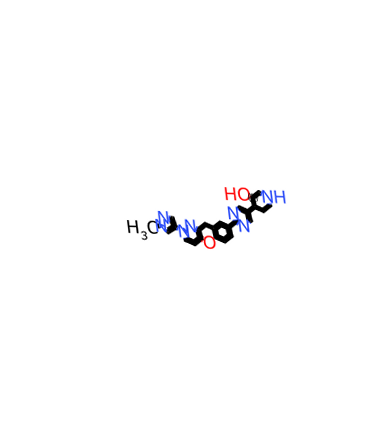 Cn1cc(-n2ccc(=O)c(Cc3cccc(-c4ncc(C5CCNC[C@@H]5O)cn4)c3)n2)cn1